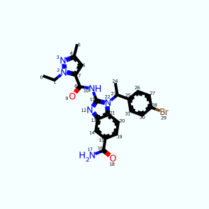 CCn1nc(C)cc1C(=O)Nc1nc2cc(C(N)=O)ccc2n1C(C)c1ccc(Br)cc1